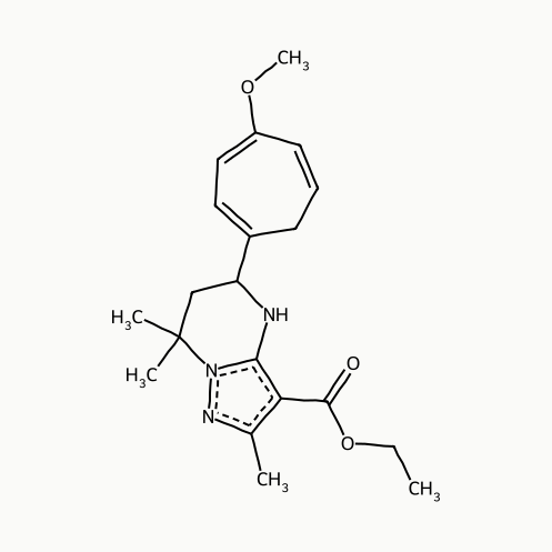 CCOC(=O)c1c(C)nn2c1NC(C1=CC=C(OC)C=CC1)CC2(C)C